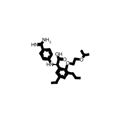 CCCc1cc(CC)cc([C@@H](Nc2ccc(C(=N)N)cc2)C(=O)O)c1OCCOC(C)C